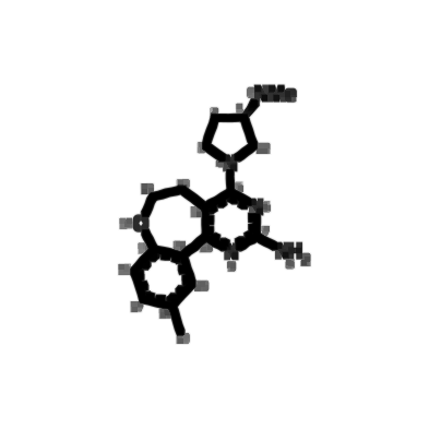 CN[C@@H]1CCN(c2nc(N)nc3c2CCOc2ccc(C)cc2-3)C1